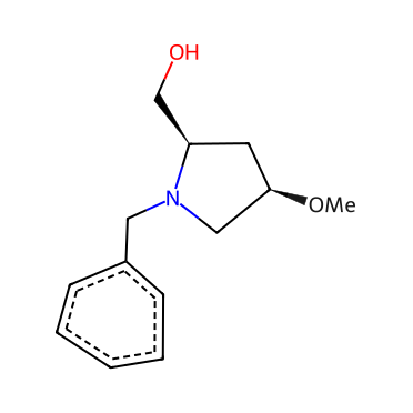 CO[C@@H]1C[C@H](CO)N(Cc2ccccc2)C1